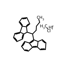 CCCCC(C1=c2ccccc2=C2C=CC=CC21)C1c2ccccc2-c2ccccc21.CCl.[Hf]